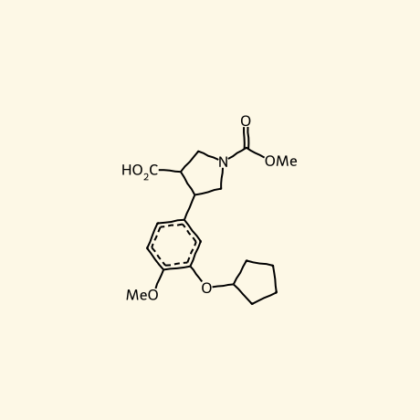 COC(=O)N1CC(C(=O)O)C(c2ccc(OC)c(OC3CCCC3)c2)C1